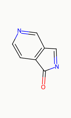 O=C1N=Cc2cnccc21